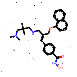 CN(C)CC(C)(C)CNC/C(=C/c1ccc(C(=O)NO)cc1)COc1cccc2ccccc12